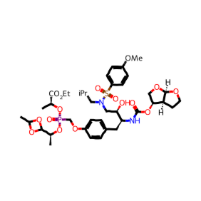 CCOC(=O)[C@H](C)OP(=O)(COc1ccc(C[C@H](NC(=O)O[C@H]2CO[C@H]3OCC[C@H]32)[C@H](O)CN(CC(C)C)S(=O)(=O)c2ccc(OC)cc2)cc1)O[C@@H](C)C1OC(C)O1